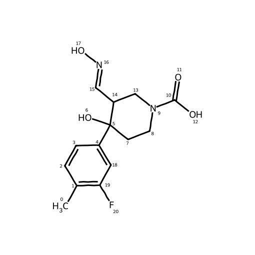 Cc1ccc(C2(O)CCN(C(=O)O)CC2C=NO)cc1F